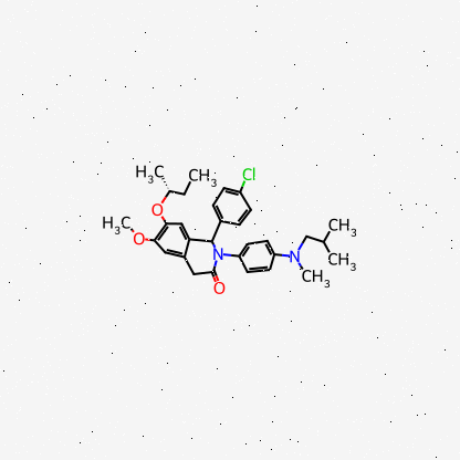 CC[C@@H](C)Oc1cc2c(cc1OC)CC(=O)N(c1ccc(N(C)CC(C)C)cc1)C2c1ccc(Cl)cc1